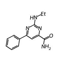 CCNc1nc(C(N)=O)cc(-c2ccccc2)n1